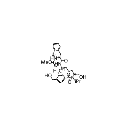 COC(=O)N[C@@H](Cc1ccccc1Br)C(=O)N[C@@H](C)CCC[C@@H](CO)N(C(C)C)S(=O)(=O)c1ccc(CO)cc1